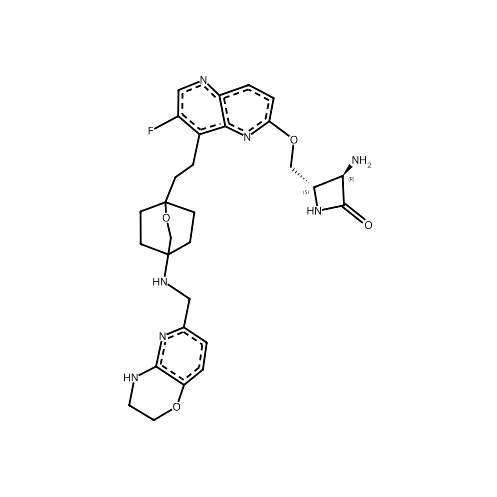 N[C@H]1C(=O)N[C@@H]1COc1ccc2ncc(F)c(CCC34CCC(NCc5ccc6c(n5)NCCO6)(CC3)CO4)c2n1